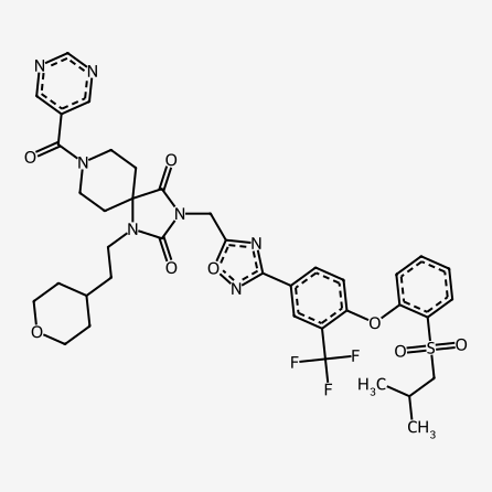 CC(C)CS(=O)(=O)c1ccccc1Oc1ccc(-c2noc(CN3C(=O)N(CCC4CCOCC4)C4(CCN(C(=O)c5cncnc5)CC4)C3=O)n2)cc1C(F)(F)F